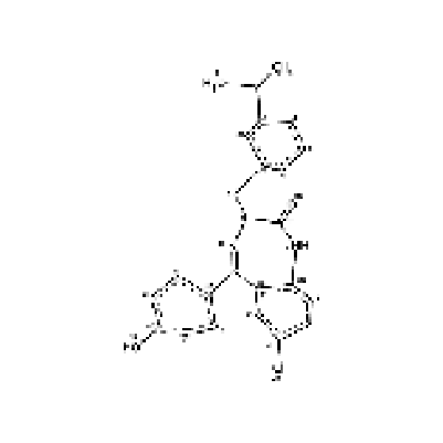 CC(C)c1cccc(CC2N=C(c3ccc(O)cc3)c3cc(Cl)ccc3NC2=O)c1